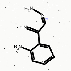 N=C(/C=N\N)c1ccccc1N